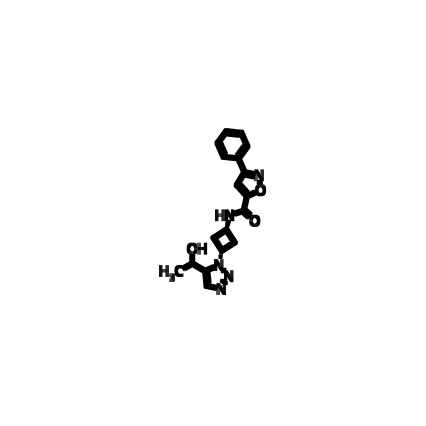 CC(O)c1cnnn1[C@H]1C[C@H](NC(=O)c2cc(-c3ccccc3)no2)C1